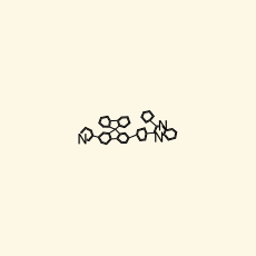 c1ccc(-c2nc3ccccc3nc2-c2ccc(-c3ccc4c(c3)C3(c5ccccc5-c5ccccc53)c3cc(-c5cccnc5)ccc3-4)cc2)cc1